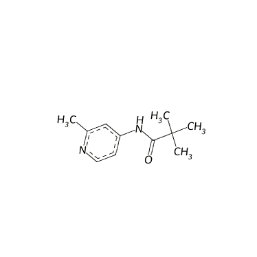 Cc1cc(NC(=O)C(C)(C)C)ccn1